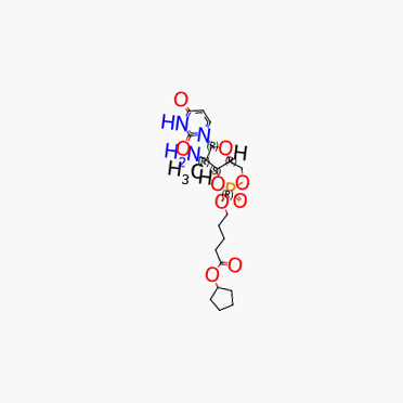 C[C@@]1(N)[C@@H]2O[P@](=O)(OCCCCC(=O)OC3CCCC3)OC[C@H]2O[C@H]1n1ccc(=O)[nH]c1=O